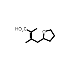 CC(CC1CCCO1)=C(C)C(=O)O